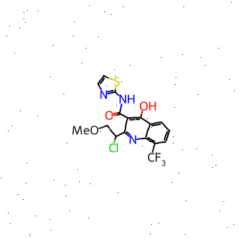 COCC(Cl)c1nc2c(C(F)(F)F)cccc2c(O)c1C(=O)Nc1nccs1